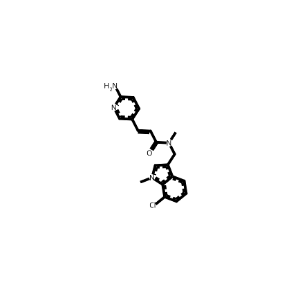 CN(Cc1cn(C)c2c(Cl)cccc12)C(=O)/C=C/c1ccc(N)nc1